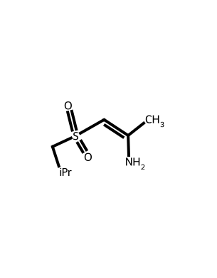 CC(N)=CS(=O)(=O)CC(C)C